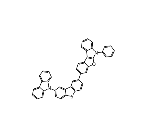 c1ccc(-n2c3ccccc3c3c4ccc(-c5ccc6sc7ccc(-n8c9ccccc9c9ccccc98)cc7c6c5)cc4oc32)cc1